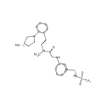 CN(CCc1ccccc1N1CC[C@H](O)C1)C(=O)CNc1cccc(CNS(C)(=O)=O)c1